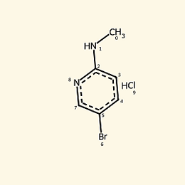 CNc1ccc(Br)cn1.Cl